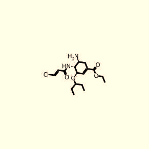 CCOC(=O)C1=C[C@@H](OC(CC)CC)[C@H](NC(=O)/C=C/Cl)[C@@H](N)C1